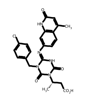 Cc1cc(=O)[nH]c2cc(/N=c3\[nH]c(=O)n([C@@H](C)CC(=O)O)c(=O)n3Cc3ccc(Cl)cc3)ccc12